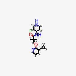 CC(C)(COc1ncccc1C1CC1)C(=O)N[C@H]1CCNC[C@@H]1F